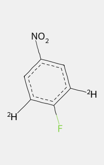 [2H]c1cc([N+](=O)[O-])cc([2H])c1F